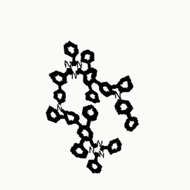 c1ccc(-c2ccc(-n3c4ccccc4c4cc(-c5cc(-c6ccccc6)c(-c6nc(-c7ccccc7)nc(-c7cccc(-c8ccc(-n9c%10ccccc%10c%10cc(-c%11cc(-c%12ccccc%12)c(-c%12nc(-c%13ccccc%13)nc(-c%13ccccc%13)n%12)cc%11-c%11ccccc%11)ccc%109)cc8)c7)n6)cc5-c5ccccc5)ccc43)cc2)cc1